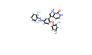 Cn1cc(-c2cc(NCc3c(F)cccc3F)ccc2Oc2ccc(F)cc2F)c2cc[nH]c(=O)c21